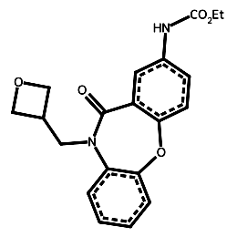 CCOC(=O)Nc1ccc2c(c1)C(=O)N(CC1COC1)c1ccccc1O2